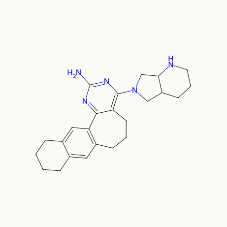 Nc1nc2c(c(N3CC4CCCNC4C3)n1)CCCc1cc3c(cc1-2)CCCC3